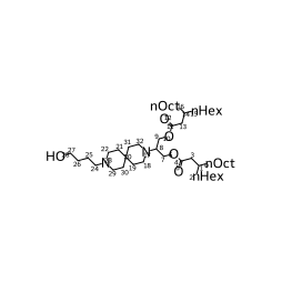 CCCCCCCCC(CCCCCC)CC(=O)OCC(COC(=O)CC(CCCCCC)CCCCCCCC)N1CCC2(CCN(CCCCO)CC2)CC1